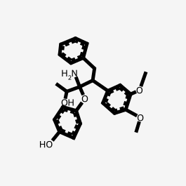 COc1ccc(C(Cc2ccccc2)C(N)(Oc2ccc(O)cc2)C(C)O)cc1OC